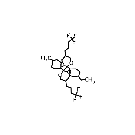 CCC1CCC(C2(C3(C4CCC(C)CC4)OCC(CCCC(F)(F)F)CO3)OCC(CCCC(F)(F)F)CO2)CC1